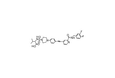 CC(C)[C@@H](NS(=O)(=O)N1CCN(c2ccc(C#Cc3ccnc(C(=O)NCc4ccc(F)c(F)c4)c3)cc2)CC1)C(=O)O